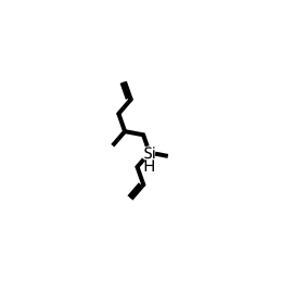 C=CCC(C)C[SiH](C)CC=C